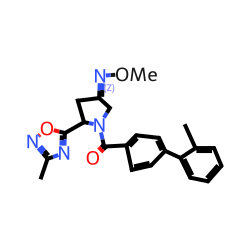 CO/N=C1/CC(c2nc(C)no2)N(C(=O)c2ccc(-c3ccccc3C)cc2)C1